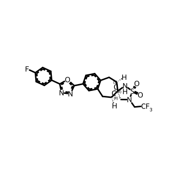 O=S1(=O)N[C@@]2(CN1CC(F)(F)F)[C@@H]1CC[C@H]2Cc2ccc(-c3nnc(-c4ccc(F)cc4)o3)cc2C1